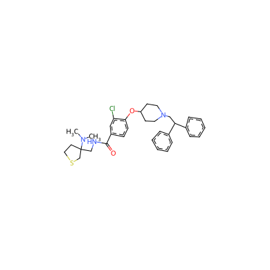 CN(C)C1(CNC(=O)c2ccc(OC3CCN(CC(c4ccccc4)c4ccccc4)CC3)c(Cl)c2)CCSC1